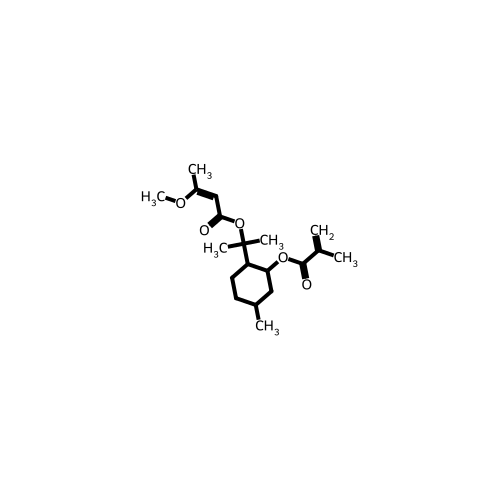 C=C(C)C(=O)OC1CC(C)CCC1C(C)(C)OC(=O)C=C(C)OC